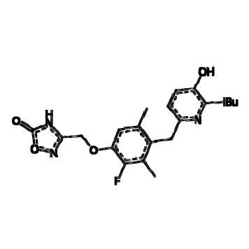 CCC(C)c1nc(Cc2c(C)cc(OCc3noc(=O)[nH]3)c(F)c2C)ccc1O